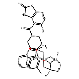 Cc1nc2ccccc2n1C1C[C@H]2CC[C@@H](C1)N2CCC1(c2cccc(F)c2)CCN(C(=O)c2c(F)ccc3oc(=O)[nH]c23)CC1